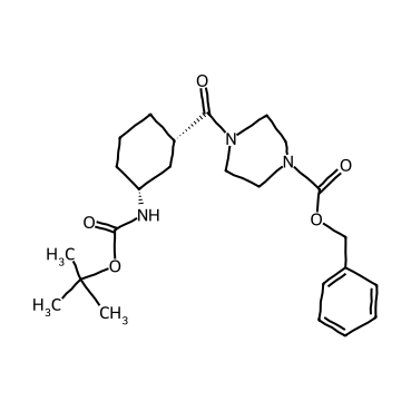 CC(C)(C)OC(=O)N[C@@H]1CCC[C@H](C(=O)N2CCN(C(=O)OCc3ccccc3)CC2)C1